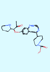 CC(=O)C(Oc1ccc2c(C3CCN(C(=O)O)CC3)ncnc2c1)C1CCCN1